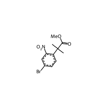 COC(=O)C(C)(C)c1ccc(Br)cc1[N+](=O)[O-]